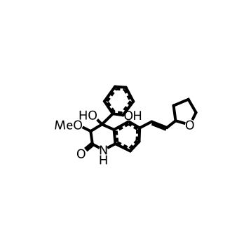 COC1C(=O)Nc2ccc(/C=C/C3CCCO3)c(O)c2C1(O)c1ccccc1